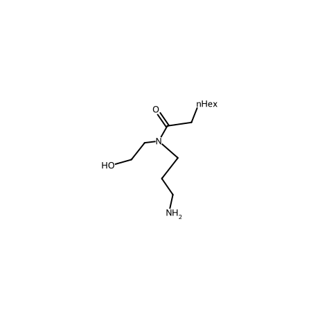 CCCCCCCC(=O)N(CCO)CCCN